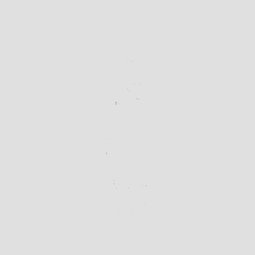 CC(C)SCC(=O)NCC(=O)N[C@@H](CCC(=O)O)C(=O)NC1CCC(Oc2ccc([C@@H]3O[C@@H]4C[C@H]5[C@@H]6C[C@H](F)C7=CC(=O)C=C[C@]7(C)[C@@]6(F)[C@@H](O)C[C@]5(C)[C@]4(C(=O)SCF)O3)cc2)CC1